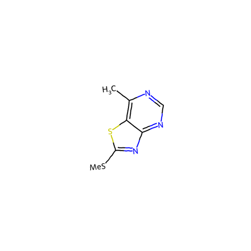 CSc1nc2ncnc(C)c2s1